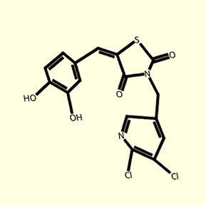 O=C1SC(=Cc2ccc(O)c(O)c2)C(=O)N1Cc1cnc(Cl)c(Cl)c1